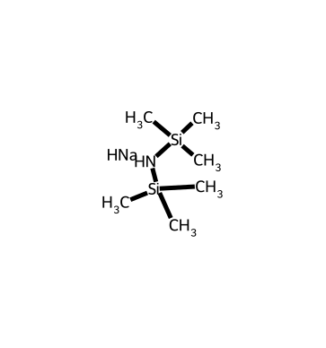 C[Si](C)(C)N[Si](C)(C)C.[NaH]